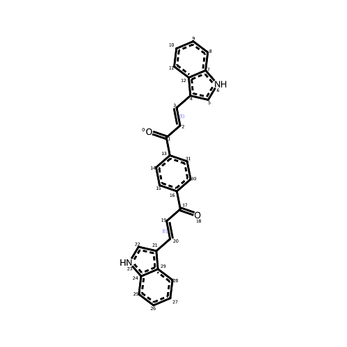 O=C(/C=C/c1c[nH]c2ccccc12)c1ccc(C(=O)/C=C/c2c[nH]c3ccccc23)cc1